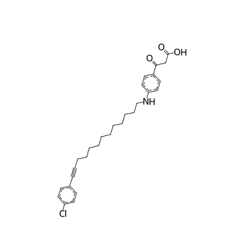 O=C(O)CC(=O)c1ccc(NCCCCCCCCCCCC#Cc2ccc(Cl)cc2)cc1